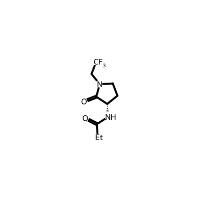 CCC(=O)N[C@H]1CCN(CC(F)(F)F)C1=O